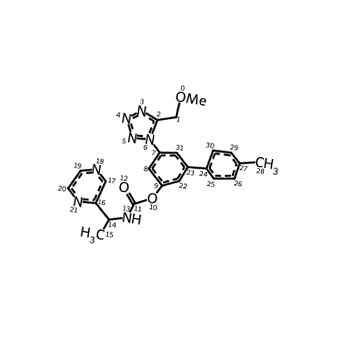 COCc1nnnn1-c1cc(OC(=O)NC(C)c2cnccn2)cc(-c2ccc(C)cc2)c1